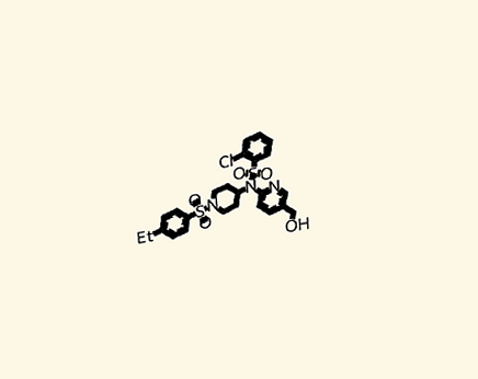 CCc1ccc(S(=O)(=O)N2CCC(N(c3ccc(CO)cn3)S(=O)(=O)c3ccccc3Cl)CC2)cc1